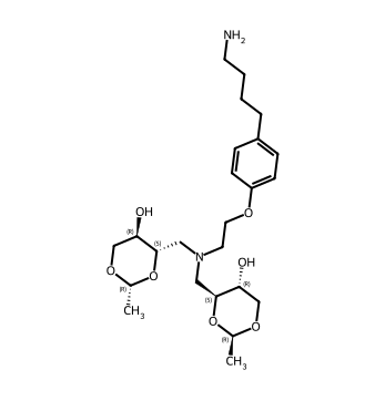 C[C@@H]1OC[C@@H](O)[C@H](CN(CCOc2ccc(CCCCN)cc2)C[C@@H]2O[C@H](C)OC[C@H]2O)O1